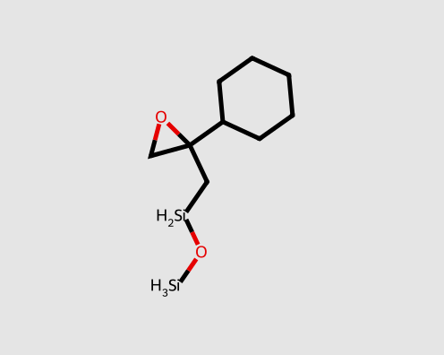 [SiH3]O[SiH2]CC1(C2CCCCC2)CO1